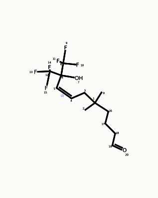 CC(C)(C/C=C\C(O)(C(F)(F)F)C(F)(F)F)CCCC=O